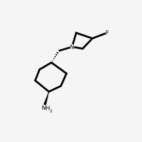 N[C@H]1CC[C@H](CN2CC(F)C2)CC1